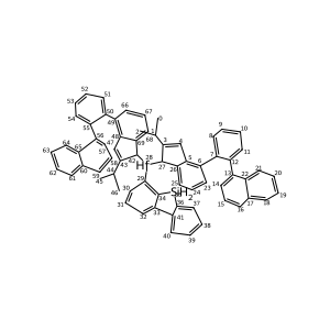 CC(C)C1=Cc2c(-c3ccccc3-c3cccc4ccccc34)cccc2[CH]1[Hf]([c]1cccc2c1[SiH2]c1ccccc1-2)[CH]1C(C(C)C)=Cc2c(-c3ccccc3-c3cccc4ccccc34)cccc21